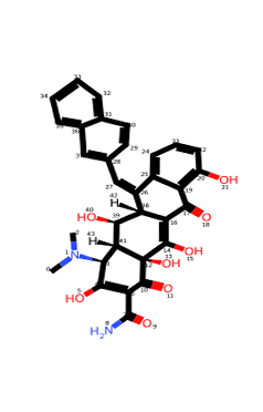 CN(C)[C@@H]1C(O)=C(C(N)=O)C(=O)[C@@]2(O)C(O)=C3C(=O)c4c(O)cccc4/C(=C\c4ccc5ccccc5c4)[C@H]3[C@H](O)[C@@H]12